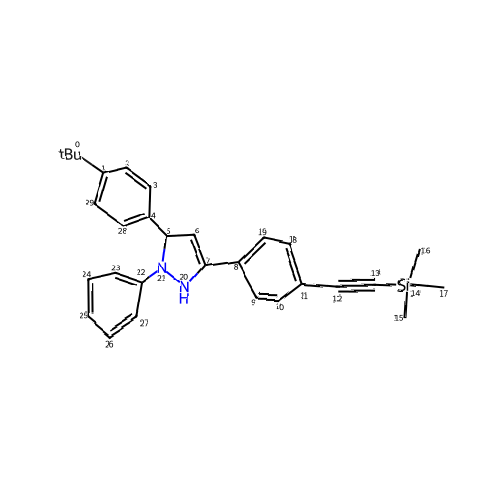 CC(C)(C)c1ccc(C2C=C(c3ccc(C#C[Si](C)(C)C)cc3)NN2c2ccccc2)cc1